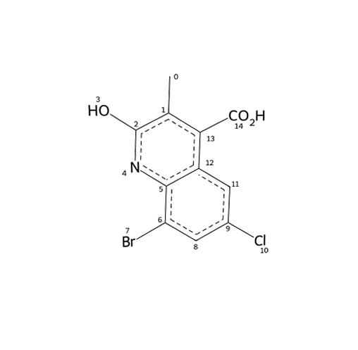 Cc1c(O)nc2c(Br)cc(Cl)cc2c1C(=O)O